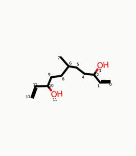 C=CC(O)CCC(C)CCC(O)C=C